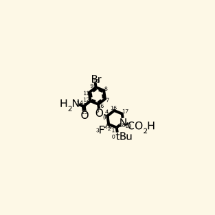 CC(C)(C)C1[C@H](F)[C@H](Oc2ccc(Br)cc2C(N)=O)CCN1C(=O)O